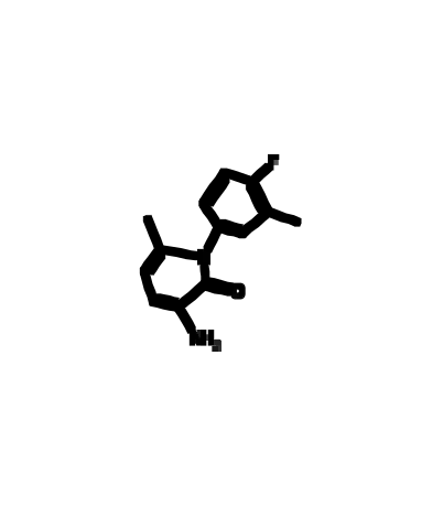 Cc1cc(-n2c(C)ccc(N)c2=O)ccc1F